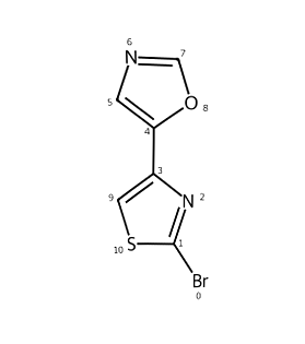 Brc1nc(-c2cnco2)cs1